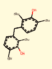 CC(C)(C)c1ccc(Cc2ccc(C(C)(C)C)c(O)c2C(C)(C)C)c(C(C)(C)C)c1O